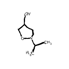 CC(C)N1CC(O)CO1